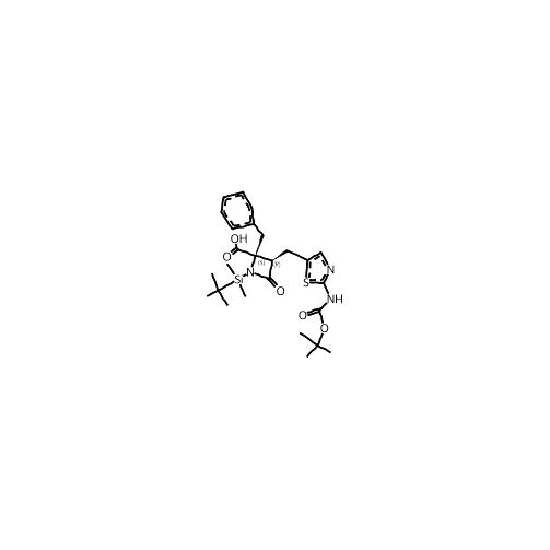 CC(C)(C)OC(=O)Nc1ncc(C[C@H]2C(=O)N([Si](C)(C)C(C)(C)C)[C@]2(Cc2ccccc2)C(=O)O)s1